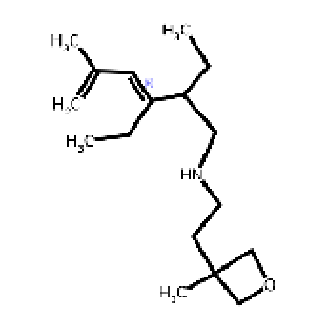 C=C(C)/C=C(\CC)C(CC)CNCCC1(C)COC1